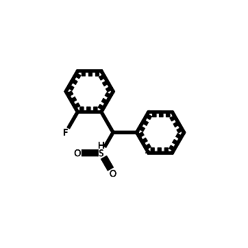 O=[SH](=O)C(c1[c]cccc1)c1ccccc1F